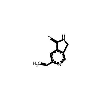 C=Cc1cc2c(cn1)CNC2=O